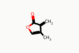 C=C1C(=O)OC=C1C